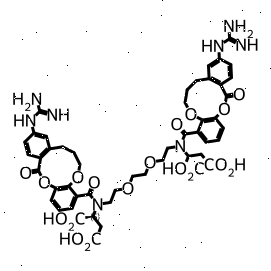 N=C(N)Nc1ccc2c(c1)CCCOc1c(cccc1C(=O)N(CCOCCOCCN(C(=O)c1cccc3c1OCCCc1cc(NC(=N)N)ccc1C(=O)O3)[C@@H](CC(=O)O)C(=O)O)C(CC(=O)O)C(=O)O)OC2=O